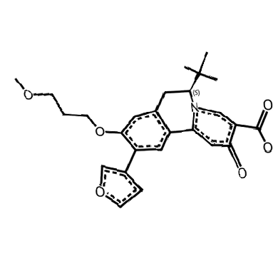 COCCCOc1cc2c(cc1-c1ccoc1)-c1cc(=O)c(C(=O)O)cn1[C@H](C(C)(C)C)C2